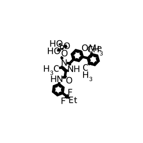 CCC(F)(F)c1cccc(NC(=O)C2=C(C)N(COP(=O)(O)O)C(c3ccc(OC)c(-c4c(C)cccc4C)c3)N2)c1